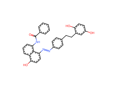 O=C(Nc1cccc2c(O)ccc(N=Nc3ccc(CCc4cc(O)ccc4O)cc3)c12)c1ccccc1